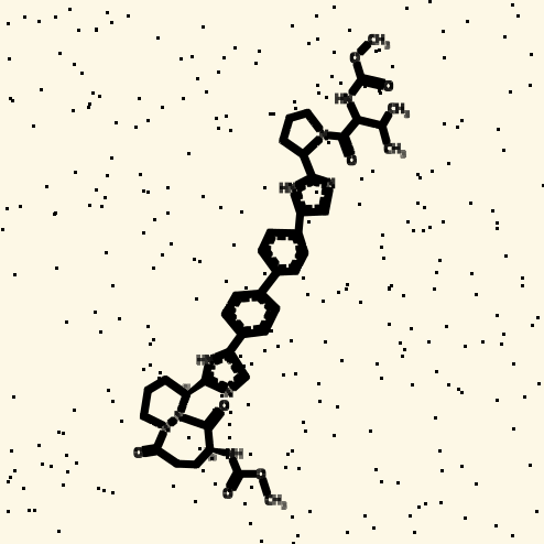 COC(=O)NC(C(=O)N1CCCC1c1ncc(-c2ccc(-c3ccc(-c4cnc([C@@H]5CCCN6C(=O)CC[C@H](NC(=O)OC)C(=O)N56)[nH]4)cc3)cc2)[nH]1)C(C)C